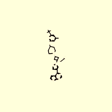 Cc1cc(OC2CCN([C@H]3C[C@](CC#N)(n4cc(-c5ncnc6[nH]ccc56)cn4)C3)CC2)nc(C(F)(F)F)c1